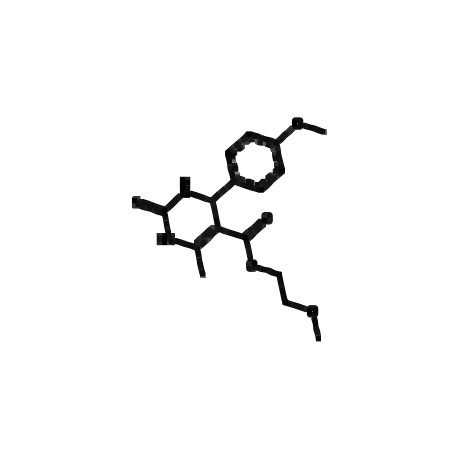 COCCOC(=O)C1=C(C)NC(=S)NC1c1ccc(OC)cc1